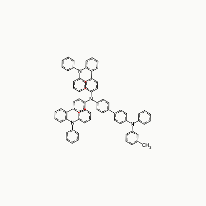 Cc1cccc(N(c2ccccc2)c2ccc(-c3ccc(N(c4ccc(-c5ccccc5N(c5ccccc5)c5ccccc5)cc4)c4ccc(-c5ccccc5N(c5ccccc5)c5ccccc5)cc4)cc3)cc2)c1